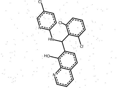 Oc1c(C(Nc2ccc(Cl)cn2)c2c(Cl)cccc2Cl)ccc2cccnc12